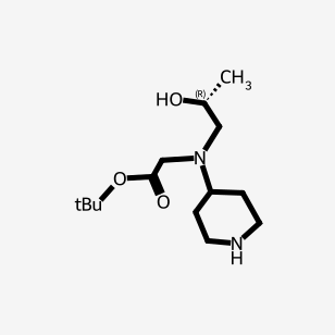 C[C@@H](O)CN(CC(=O)OC(C)(C)C)C1CCNCC1